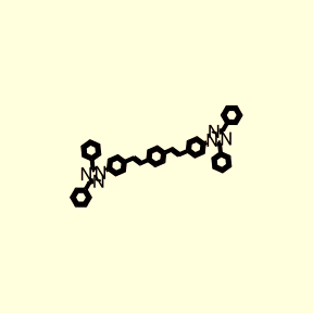 C(=C\c1ccc(-n2nc(-c3ccccc3)nc2-c2ccccc2)cc1)/c1ccc(/C=C/c2ccc(-n3nc(-c4ccccc4)nc3-c3ccccc3)cc2)cc1